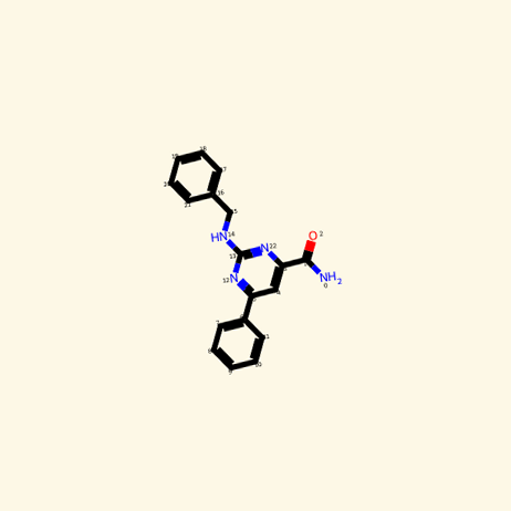 NC(=O)c1cc(-c2ccccc2)nc(NCc2ccccc2)n1